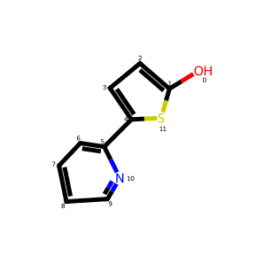 Oc1ccc(-c2ccccn2)s1